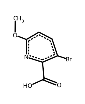 COc1ccc(Br)c(C(=O)O)n1